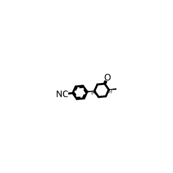 C[C@H]1CC[C@@H](c2ccc(C#N)cc2)CC1=O